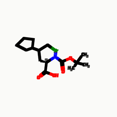 CC(C)(C)OC(=O)N[C@@H](CC(CBr)C1CCCC1)C(=O)O